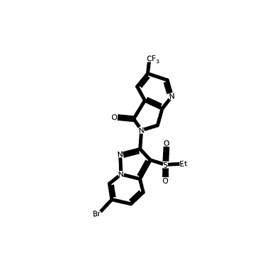 CCS(=O)(=O)c1c(N2Cc3ncc(C(F)(F)F)cc3C2=O)nn2cc(Br)ccc12